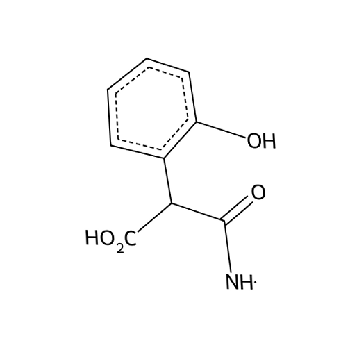 [NH]C(=O)C(C(=O)O)c1ccccc1O